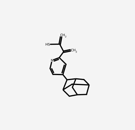 C=C(S)C(=C)c1cc(C2C3CC4CC(C3)CC2C4)ccn1